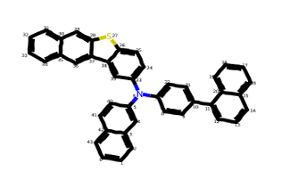 c1ccc2cc(N(c3ccc(-c4cccc5ccccc45)cc3)c3ccc4sc5cc6ccccc6cc5c4c3)ccc2c1